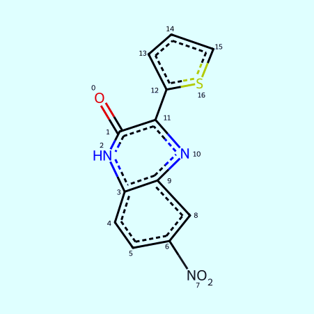 O=c1[nH]c2ccc([N+](=O)[O-])cc2nc1-c1cccs1